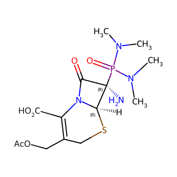 CC(=O)OCC1=C(C(=O)O)N2C(=O)[C@@](N)(P(=O)(N(C)C)N(C)C)[C@H]2SC1